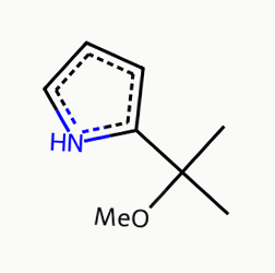 COC(C)(C)c1ccc[nH]1